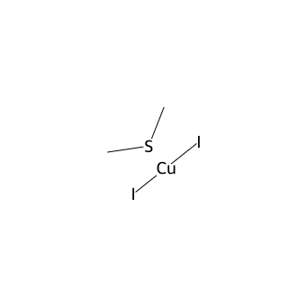 CSC.[I][Cu][I]